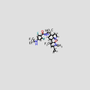 CC[C@@H](Nc1cc(F)c(C(=O)N[C@@H](Cc2ccc(-c3c(C(F)(F)F)cc(C4CC4)n(C)c3=O)c3ncccc23)C(=O)O)c(F)c1)C(F)(F)F